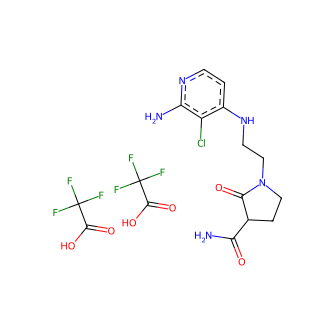 NC(=O)C1CCN(CCNc2ccnc(N)c2Cl)C1=O.O=C(O)C(F)(F)F.O=C(O)C(F)(F)F